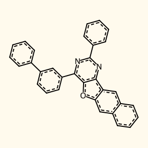 c1ccc(-c2cccc(-c3nc(-c4ccccc4)nc4c3oc3cc5ccccc5cc34)c2)cc1